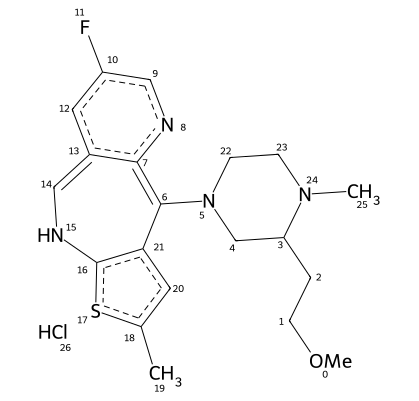 COCCC1CN(C2=c3ncc(F)cc3=CNc3sc(C)cc32)CCN1C.Cl